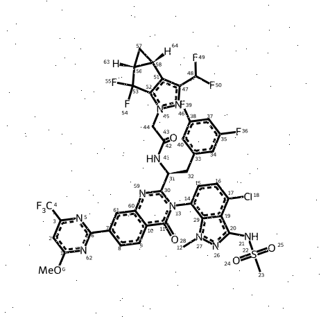 COc1cc(C(F)(F)F)nc(-c2ccc3c(=O)n(-c4ccc(Cl)c5c(NS(C)(=O)=O)nn(C)c45)c([C@H](Cc4cc(F)cc(F)c4)NC(=O)Cn4nc(C(F)F)c5c4C(F)(F)[C@@H]4C[C@H]54)nc3c2)n1